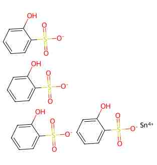 O=S(=O)([O-])c1ccccc1O.O=S(=O)([O-])c1ccccc1O.O=S(=O)([O-])c1ccccc1O.O=S(=O)([O-])c1ccccc1O.[Sn+4]